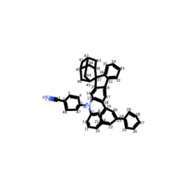 N#Cc1ccc(N(c2ccccc2)c2cc3c(cc2-c2cccc(-c4ccccc4)c2)-c2ccccc2C32C3CC4CC(C3)CC2C4)cc1